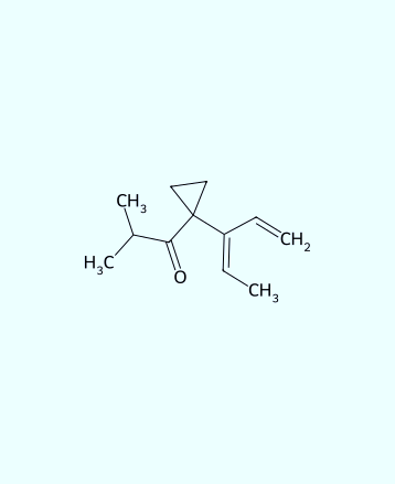 C=C/C(=C\C)C1(C(=O)C(C)C)CC1